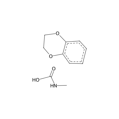 CNC(=O)O.c1ccc2c(c1)OCCO2